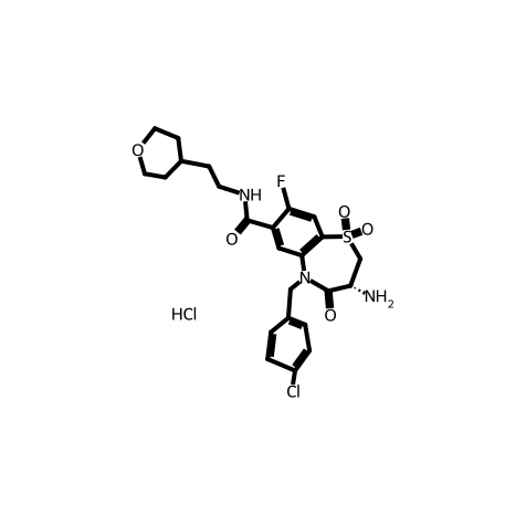 Cl.N[C@H]1CS(=O)(=O)c2cc(F)c(C(=O)NCCC3CCOCC3)cc2N(Cc2ccc(Cl)cc2)C1=O